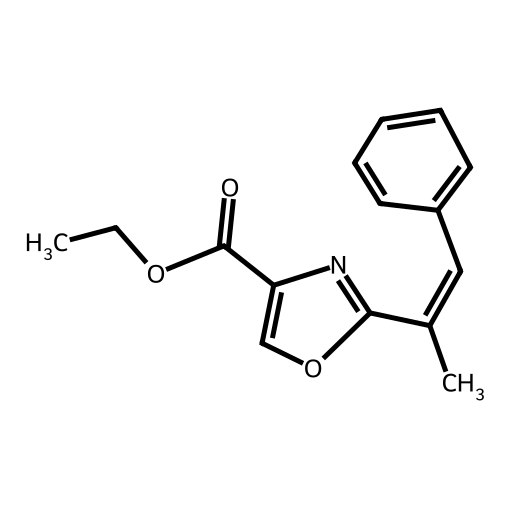 CCOC(=O)c1coc(C(C)=Cc2ccccc2)n1